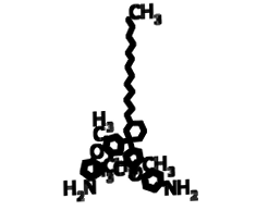 CCCCCCCCCCCCCCC1CCCC(c2cc(C)c(Oc3ccc(N)cc3)c(C)c2)(c2cc(C)c(Oc3ccc(N)cc3)c(C)c2)C1